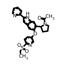 CCS(=O)(=O)c1ccc(Oc2cc3cc(-c4ccccn4)[nH]c3cc2C2CCCN2C(C)=O)cn1